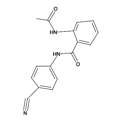 CC(=O)Nc1ccccc1C(=O)Nc1ccc(C#N)cc1